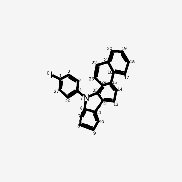 Ic1ccc(-n2c3ccccc3c3ccc4c5ccccc5ccc4c32)cc1